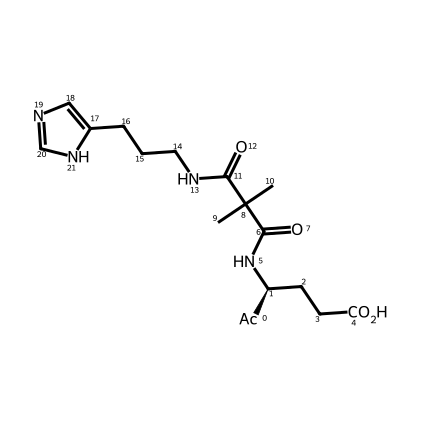 CC(=O)[C@H](CCC(=O)O)NC(=O)C(C)(C)C(=O)NCCCc1cnc[nH]1